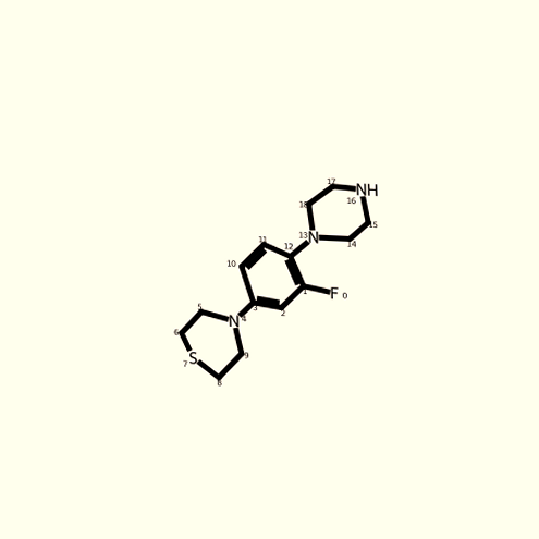 Fc1cc(N2CCSCC2)ccc1N1CCNCC1